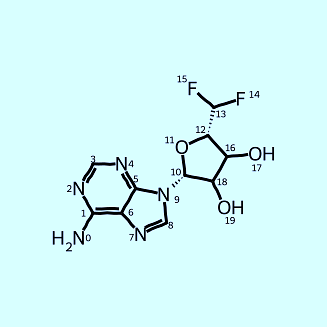 Nc1ncnc2c1ncn2[C@@H]1O[C@H](C(F)F)C(O)C1O